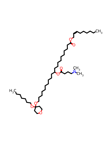 CCCCCC/C=C\COC(=O)CCCCCCCCCC(CCCCCCCCCCOC1(OCCCCCCC)CCOCC1)OC(=O)CCCN(C)C